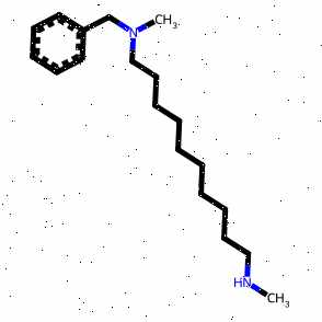 CNCCCCCCCCCCN(C)Cc1ccccc1